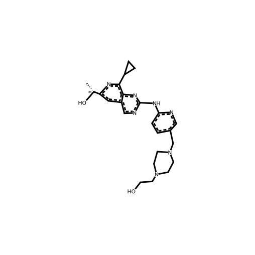 C[C@@H](O)c1cc2cnc(Nc3ccc(CN4CCN(CCO)CC4)cn3)nc2c(C2CC2)n1